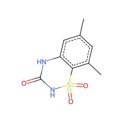 Cc1cc(C)c2c(c1)NC(=O)NS2(=O)=O